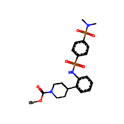 CN(C)S(=O)(=O)c1ccc(S(=O)(=O)Nc2ccccc2C2CCN(C(=O)OC(C)(C)C)CC2)cc1